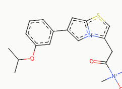 CC(C)Oc1cccc(-c2cc3scc(CC(=O)[N+](C)(C)O)n3c2)c1